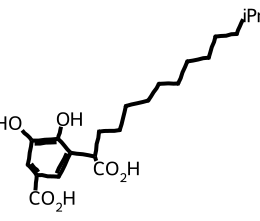 CC(C)CCCCCCCCCCC(C(=O)O)c1cc(C(=O)O)cc(O)c1O